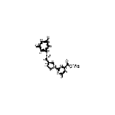 COC(=O)c1cc(C)nc(N2CCC(COc3cc(C)cc(C)c3)C2)n1